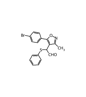 Cc1noc(-c2ccc(Br)cc2)c1C(C=O)Sc1ccccc1